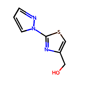 OCc1csc(-n2cccn2)n1